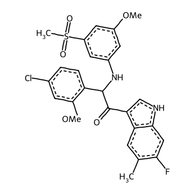 COc1cc(NC(C(=O)c2c[nH]c3cc(F)c(C)cc23)c2ccc(Cl)cc2OC)cc(S(C)(=O)=O)c1